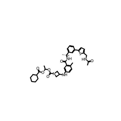 CC(=O)NCc1ccc(-c2cccc([C@@H](C)NC(=O)c3cc(NC4CN(C(=O)OC(C)OC(=O)C5CCCCC5)C4)ccc3C)c2)s1